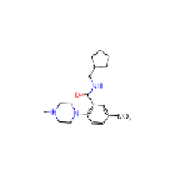 CN1CCN(c2ccc([N+](=O)[O-])cc2C(=O)NCC2CCCC2)CC1